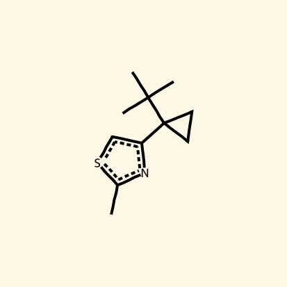 Cc1nc(C2(C(C)(C)C)CC2)cs1